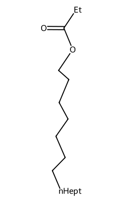 [CH2]CC(=O)OCCCCCCCCCCCCCC